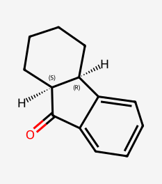 O=C1c2ccccc2[C@@H]2CCCC[C@H]12